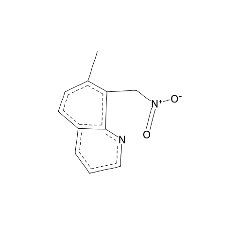 Cc1ccc2cccnc2c1C[N+](=O)[O-]